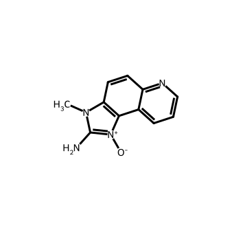 Cn1c(N)[n+]([O-])c2c3cccnc3ccc21